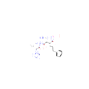 CC[C@H](C)CN(NC(=O)[C@H](CC(C)C)[C@H](CCCc1ccccc1)C(=O)NO)C(=O)Cn1cncn1